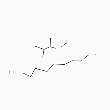 CCCCCCCCCCCCCCCCCC(=O)O.CCOC(O)C(C)O